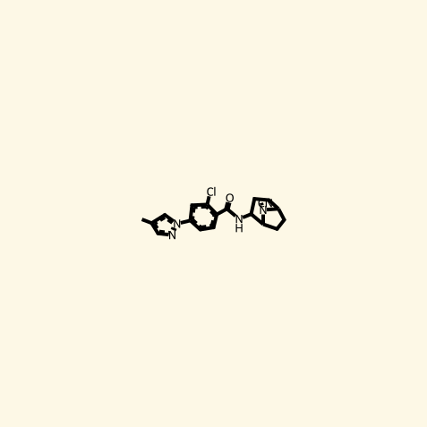 Cc1cnn(-c2ccc(C(=O)NC3CCC4CCC3N4C#N)c(Cl)c2)c1